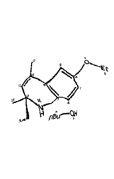 CCCCO.CCOc1ccc2c(c1)C(C)=CC(C)(C)N2